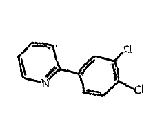 Clc1ccc(-c2[c]cccn2)cc1Cl